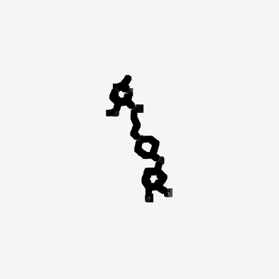 COc1cnc(C)nc1NCCCN1CCC(Oc2ccc(Cl)c(Cl)c2)CC1